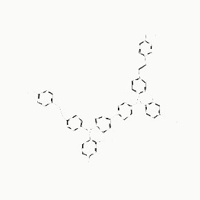 Cc1ccc(C=Cc2ccc(N(c3ccc(-c4ccc(N(c5ccc(CCc6ccc(C)cc6)cc5)c5ccc(C)cc5C)cc4)cc3)c3ccc(C)cc3C)cc2)cc1